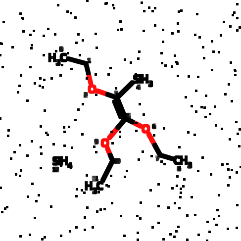 CCOC([SiH3])=C(OCC)OCC.[SiH4]